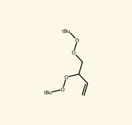 C=CC(COOC(C)(C)C)OOC(C)(C)C